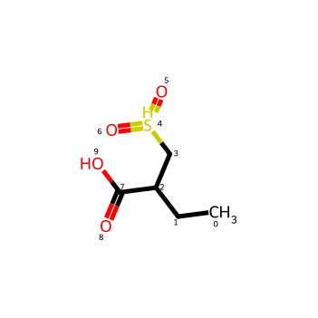 CCC(C[SH](=O)=O)C(=O)O